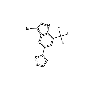 FC(F)(F)c1cc(-c2cccs2)nc2c(Br)cnn12